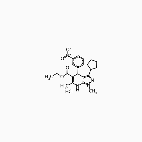 CCOC(=O)C1=C(C)Nc2c(c(C3CCCC3)nn2C)C1c1cccc([N+](=O)[O-])c1.Cl